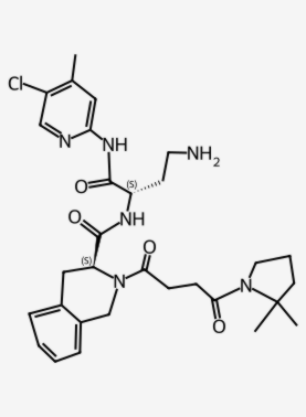 Cc1cc(NC(=O)[C@H](CCN)NC(=O)[C@@H]2Cc3ccccc3CN2C(=O)CCC(=O)N2CCCC2(C)C)ncc1Cl